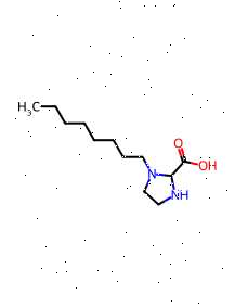 CCCCCCCCN1CCNC1C(=O)O